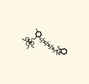 CCO[Si](CCc1cc(C)ccc1SSSSSSSc1nc2ccccc2s1)(OCC)OCC